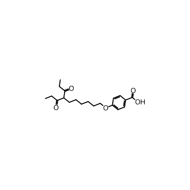 CCC(=O)C(CCCCCCOc1ccc(C(=O)O)cc1)C(=O)CC